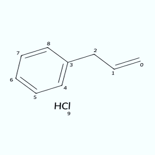 C=CCc1ccccc1.Cl